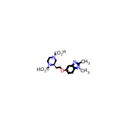 Cc1nc2cc(OCC[C@@H]3CN(C(=O)O)CCN3C(=O)O)ccc2n1C